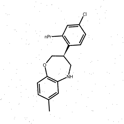 CCCc1cc(Cl)ccc1[C@H]1CNc2cc(C)ccc2OC1